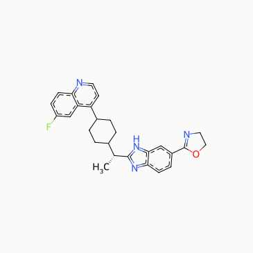 C[C@@H](c1nc2ccc(C3=NCCO3)cc2[nH]1)C1CCC(c2ccnc3ccc(F)cc23)CC1